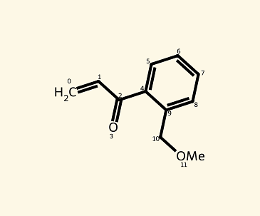 C=CC(=O)c1ccccc1COC